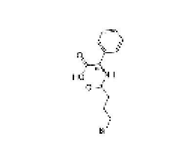 O=C(CCCBr)N[C@@H](C(=O)O)c1ccccc1